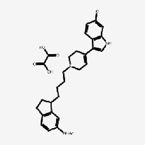 CC(=O)Nc1ccc2c(c1)C(CCCCN1CC=C(c3c[nH]c4cc(Cl)ccc34)CC1)CC2.O=C(O)C(=O)O